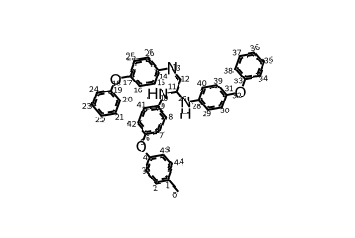 Cc1ccc(Oc2ccc(NC(/C=N\c3ccc(Oc4ccccc4)cc3)Nc3ccc(Oc4ccccc4)cc3)cc2)cc1